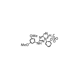 COc1cc(NC2=N[N+]3(c4ccccc4OS(C)(=O)=O)C=CN=CC3=N2)cc(OC)c1